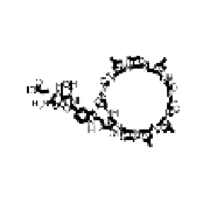 CC[C@@H]1NC(=O)[C@H]([C@H](O)[C@H](C)Cc2nc3cc(C(=O)N[C@@H](CO)C(=O)N[C@@H](CCC(=O)O)C(N)=O)ccc3[nH]2)N(C)C(=O)[C@H](C(C)C)N(C)C(=O)[C@H](CC(C)C)N(C)C(=O)[C@H](CC(C)C)N(C)C(=O)[C@@H](C)NC(=O)[C@H](C)NC(=O)[C@H](CC(C)C)N(C)C(=O)[C@H](C(C)C)NC(=O)[C@H](CC(C)C)N(C)C(=O)CN(C)C1=O